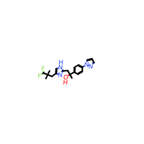 CC(O)(Cc1nc(CC(C)(C)C(F)F)c[nH]1)c1ccc(-n2cccn2)cc1